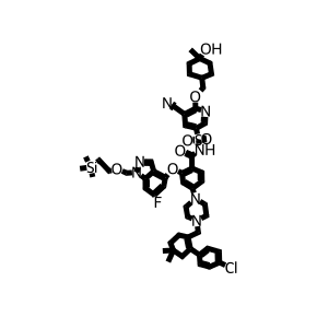 CC1(C)CCC(CN2CCN(c3ccc(C(=O)NS(=O)(=O)c4cnc(OCC5CCC(C)(O)CC5)c(C#N)c4)c(Oc4cc(F)cc5c4cnn5COCC[Si](C)(C)C)c3)CC2)=C(c2ccc(Cl)cc2)C1